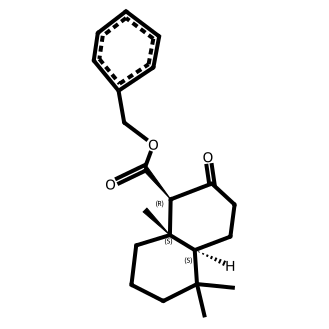 CC1(C)CCC[C@]2(C)[C@@H](C(=O)OCc3ccccc3)C(=O)CC[C@@H]12